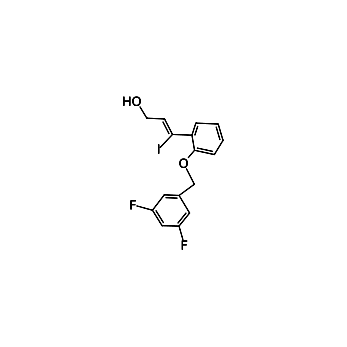 OCC=C(I)c1ccccc1OCc1cc(F)cc(F)c1